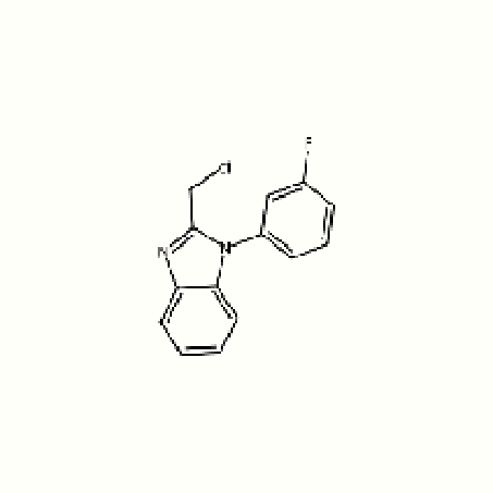 Fc1cccc(-n2c(CCl)nc3ccccc32)c1